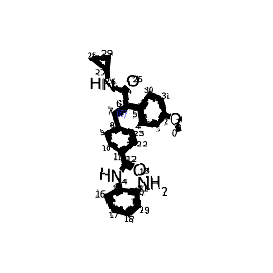 COc1ccc(/C(=C\c2ccc(C(=O)Nc3ccccc3N)cc2)C(=O)NC2CC2)cc1